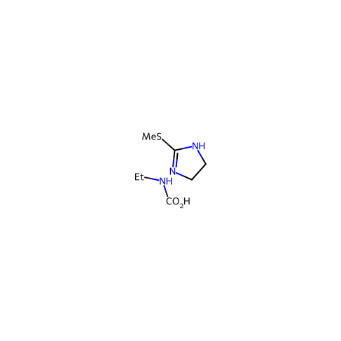 CCNC(=O)O.CSC1=NCCN1